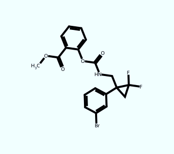 COC(=O)c1ccccc1OC(=O)NCC1(c2cccc(Br)c2)CC1(F)F